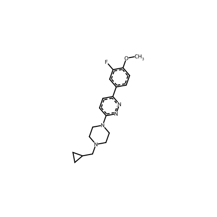 COc1ccc(-c2ccc(N3CCN(CC4CC4)CC3)nn2)cc1F